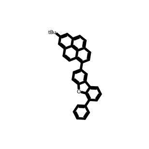 CC(C)(C)c1cc2ccc3ccc(-c4ccc5oc6c(-c7ccccc7)cccc6c5c4)c4ccc(c1)c2c34